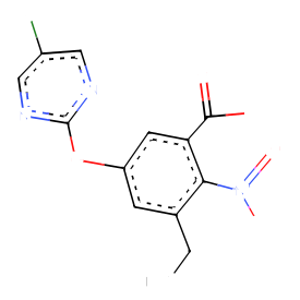 CCc1cc(Oc2ncc(Cl)cn2)cc(C(=O)O)c1[N+](=O)[O-]